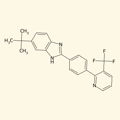 CC(C)(C)c1ccc2nc(-c3ccc(-c4ncccc4C(F)(F)F)cc3)[nH]c2c1